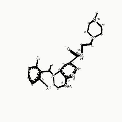 CC(c1c(Cl)cccc1Cl)N1CCNc2nnc(C(=O)NCCN3CCN(C)CC3)cc21